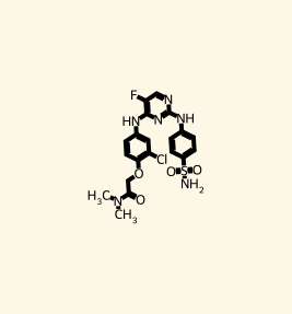 CN(C)C(=O)COc1ccc(Nc2nc(Nc3ccc(S(N)(=O)=O)cc3)ncc2F)cc1Cl